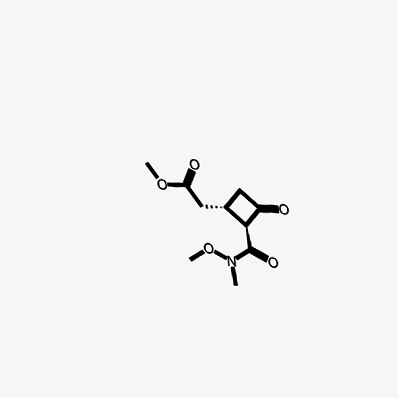 COC(=O)C[C@@H]1CC(=O)[C@H]1C(=O)N(C)OC